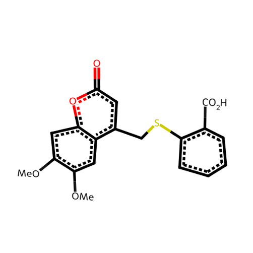 COc1cc2oc(=O)cc(CSc3ccccc3C(=O)O)c2cc1OC